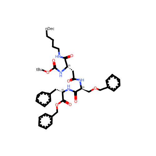 CCCCCCCCCCCCCCNC(=O)[C@H](CC(=O)N[C@@H](COCc1ccccc1)C(=O)N[C@@H](Cc1ccccc1)C(=O)OCc1ccccc1)NC(=O)OC(C)(C)C